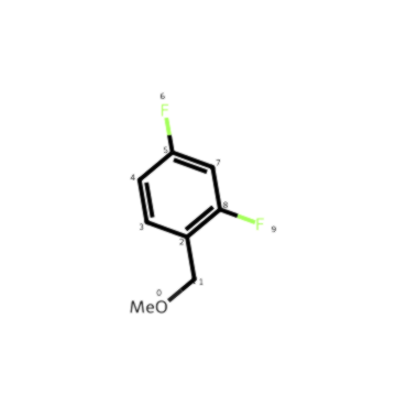 CO[CH]c1ccc(F)cc1F